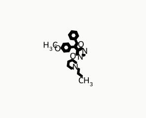 CCCCN1CCCC(Oc2ncnc3oc(-c4ccccc4)c(-c4ccc(OC)cc4)c23)C1